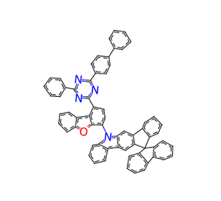 c1ccc(-c2ccc(-c3nc(-c4ccccc4)nc(-c4ccc(-n5c6ccccc6c6cc7c(cc65)-c5ccccc5C75c6ccccc6-c6ccccc65)c5oc6ccccc6c45)n3)cc2)cc1